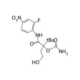 CC(C)(C)C(CCO)(OC(N)=O)C(=O)Nc1ccc([N+](=O)[O-])cc1F